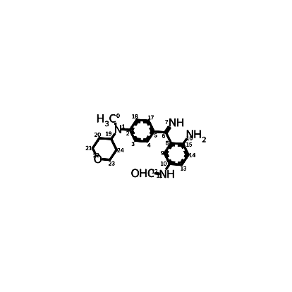 CN(c1ccc(C(=N)c2cc(NC=O)ccc2N)cc1)C1CCOCC1